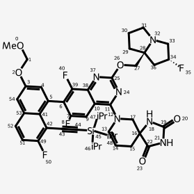 COCOc1cc(-c2c(F)cc3c(N4C=CCC5(C4)NC(=O)NC5=O)nc(OC[C@@]45CCCN4C[C@H](F)C5)nc3c2F)c2c(C#C[Si](C(C)C)(C(C)C)C(C)C)c(F)ccc2c1